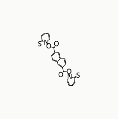 O=C(On1ccccc1=S)c1ccc2cc(C(=O)On3ccccc3=S)ccc2c1